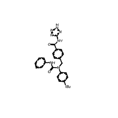 CC(C)(C)c1ccc(N(Cc2ccc(C(=O)Nc3nn[nH]n3)cc2)C(=O)Nc2ccccc2)cc1